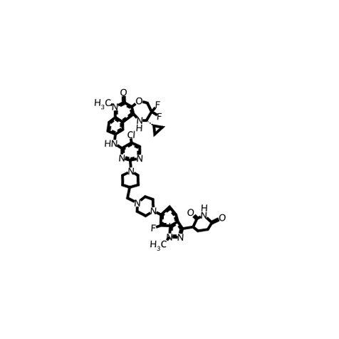 Cn1nc(C2CCC(=O)NC2=O)c2ccc(N3CCN(CC4CCN(c5ncc(Cl)c(Nc6ccc7c(c6)c6c(c(=O)n7C)OCC(F)(F)[C@H](C7CC7)N6)n5)CC4)CC3)c(F)c21